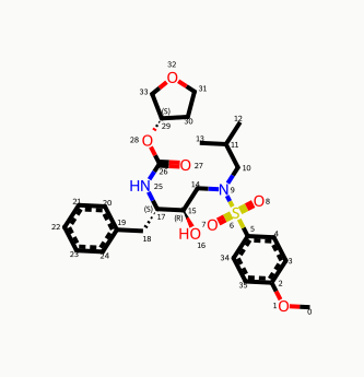 COc1ccc(S(=O)(=O)N(CC(C)C)C[C@@H](O)[C@H](Cc2ccccc2)NC(=O)O[C@H]2CCOC2)cc1